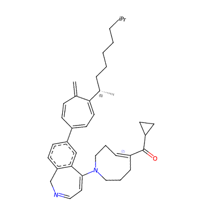 C=C1C=CC(c2ccc3c(c2)C(N2CC/C=C(\C(=O)C4CC4)CCC2)=CC=NC3)=CC=C1[C@@H](C)CCCCCC(C)C